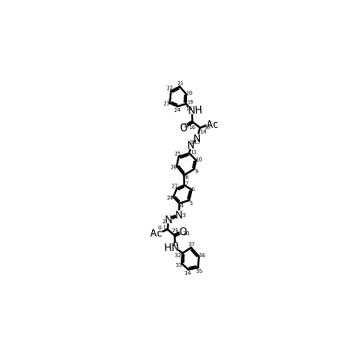 CC(=O)C(/N=N/c1ccc(-c2ccc(/N=N/C(C(C)=O)C(=O)Nc3ccccc3)cc2)cc1)C(=O)Nc1ccccc1